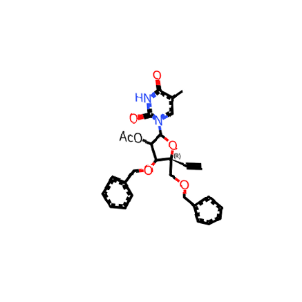 C#C[C@]1(COCc2ccccc2)OC(n2cc(C)c(=O)[nH]c2=O)C(OC(C)=O)C1OCc1ccccc1